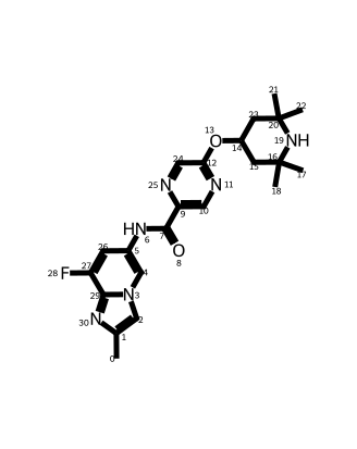 Cc1cn2cc(NC(=O)c3cnc(OC4CC(C)(C)NC(C)(C)C4)cn3)cc(F)c2n1